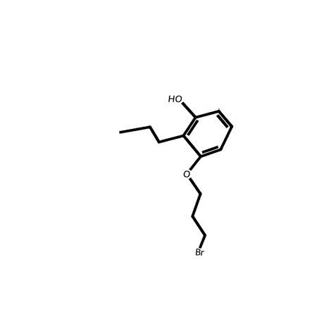 CCCc1c(O)[c]ccc1OCCCBr